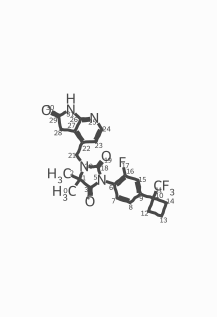 CC1(C)C(=O)N(c2ccc(C3(C(F)(F)F)CCC3)cc2F)C(=O)N1Cc1ccnc2c1CC(=O)N2